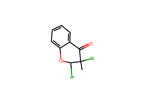 CC1(Br)C(=O)c2ccccc2OC1Br